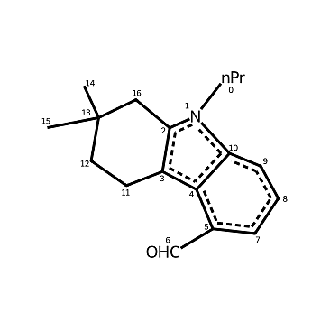 CCCn1c2c(c3c(C=O)cccc31)CCC(C)(C)C2